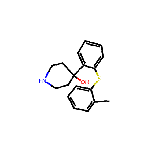 Cc1ccccc1Sc1ccccc1C1(O)CCNCC1